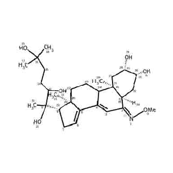 CO/N=C1/C=C2C3=CC[C@H](C(C)(O)C(O)CCC(C)(C)O)[C@@]3(C)CCC2[C@@]2(C)C[C@H](O)[C@H](O)C[C@@H]12